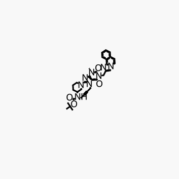 CC#CCn1c(N2CCCC(NC(=O)OC(C)(C)C)C2)nc2c1c(=O)n(Cc1cn3ccc4ccccc4c3n1)c(=O)n2C